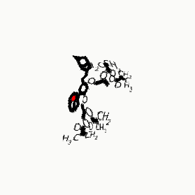 C=C(C)C(=O)OCC(COC1CC(OCC(COC(=O)C(=C)C)OC(=O)C(=C)C)C(C23CC4CC(CC(C4)C2)C3)CC1CCC1CC2CC(C1)C1CC1C2)OC(=O)C(=C)C